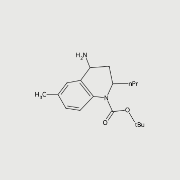 CCCC1CC(N)c2cc(C)ccc2N1C(=O)OC(C)(C)C